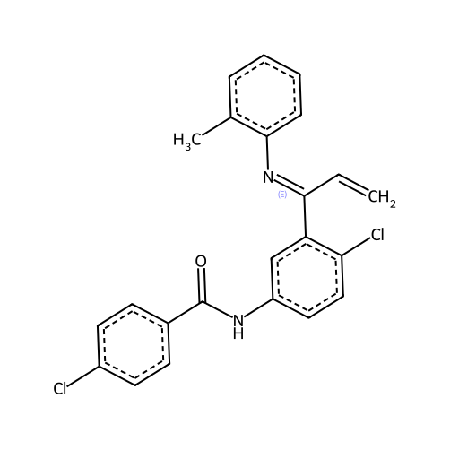 C=C/C(=N\c1ccccc1C)c1cc(NC(=O)c2ccc(Cl)cc2)ccc1Cl